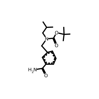 CC(C)CN(Cc1cccc(C(N)=O)c1)C(=O)OC(C)(C)C